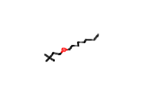 CCCCCCCCOCCC(C)(C)C